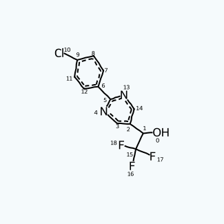 OC(c1cnc(-c2ccc(Cl)cc2)nc1)C(F)(F)F